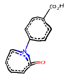 O=C(O)c1ccc(-n2ccccc2=O)cc1